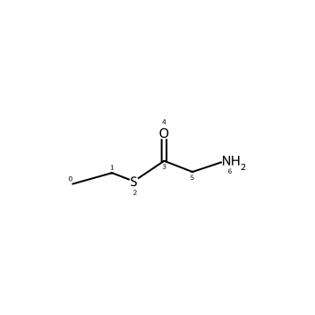 CCSC(=O)CN